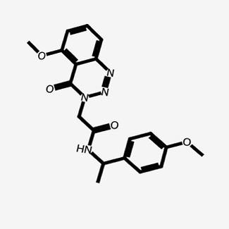 COc1ccc(C(C)NC(=O)Cn2nnc3cccc(OC)c3c2=O)cc1